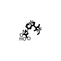 CCn1nc(C)c(-c2cnn3ccc(-n4cc(C(=O)O)c(OC)n4)cc23)c1C